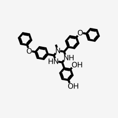 CN1C(c2ccc(Oc3ccccc3)cc2)NC(c2ccc(O)cc2O)NC1c1ccc(Oc2ccccc2)cc1